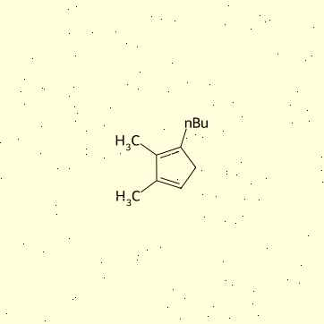 CCCCC1=C(C)C(C)=CC1